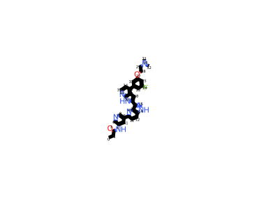 CCC(=O)Nc1cncc(-c2ccc3[nH]nc(-c4cc5c(-c6cc(F)cc(OCCN(C)C)c6)ccnc5[nH]4)c3n2)c1